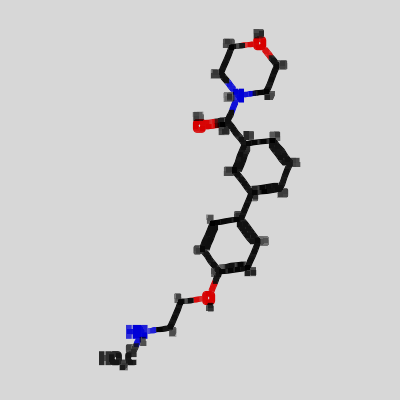 O=C(O)NCCOc1ccc(-c2cccc(C(=O)N3CCOCC3)c2)cc1